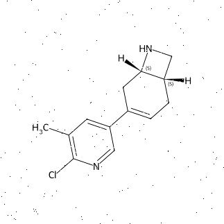 Cc1cc(C2=CC[C@H]3CN[C@H]3C2)cnc1Cl